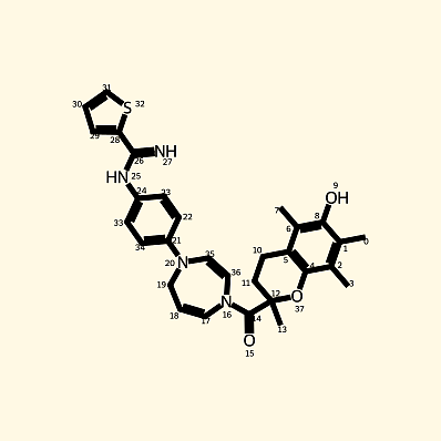 Cc1c(C)c2c(c(C)c1O)CCC(C)(C(=O)N1C=CCN(c3ccc(NC(=N)c4cccs4)cc3)C=C1)O2